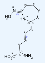 N[C@@H](C/C=C/C[C@H]1CCCC/C(=N/O)N1)C(=O)O